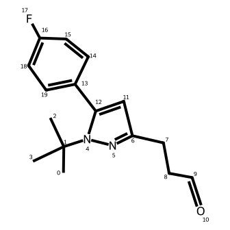 CC(C)(C)n1nc(CCC=O)cc1-c1ccc(F)cc1